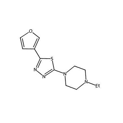 CCN1CCN(c2nnc(-c3ccoc3)s2)CC1